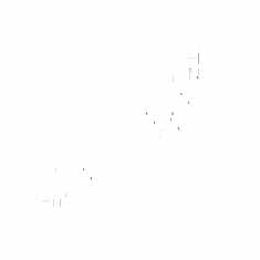 CC(C)(C)OC(=O)N1CCC(C#Cc2cccn3c(N4CCC(=O)NC4=O)cnc23)CC1